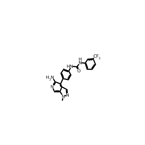 Cn1ncc2c(-c3ccc(NC(=O)Nc4cccc(C(F)(F)F)c4)cc3)c(N)ncc21